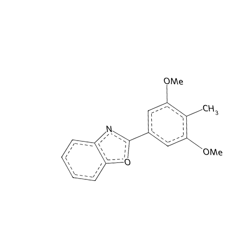 COc1cc(-c2nc3ccccc3o2)cc(OC)c1C